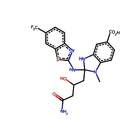 CN1c2ccc(C(=O)O)cc2NC1(CC(O)CC(N)=O)Nc1nc2ccc(C(F)(F)F)cc2s1